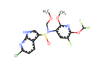 COCN(c1cc(F)c(OC(F)F)nc1OC)[S+]([O-])c1c[nH]c2nc(Cl)ccc12